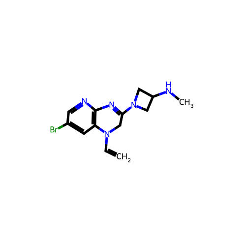 C=CN1CC(N2CC(NC)C2)=Nc2ncc(Br)cc21